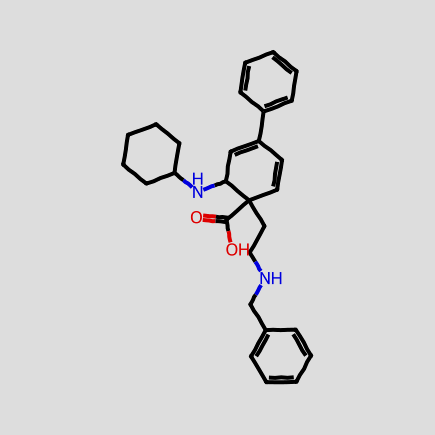 O=C(O)C1(CCNCc2ccccc2)C=CC(c2ccccc2)=CC1NC1CCCCC1